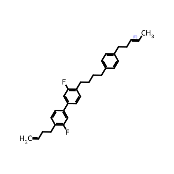 C=CCCc1ccc(-c2ccc(CCCCc3ccc(CC/C=C/C)cc3)c(F)c2)cc1F